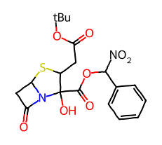 CC(C)(C)OC(=O)CC1SC2CC(=O)N2C1(O)C(=O)OC(c1ccccc1)[N+](=O)[O-]